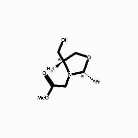 COC(=O)CN1[C@@H](C(C)C)OC[C@@]1(C)CO